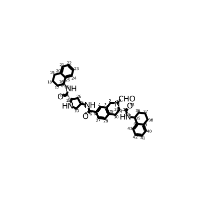 O=CN1Cc2cc(C(=O)NC3CN[C@H](C(=O)N[C@@H]4CCCc5ccccc54)C3)ccc2C[C@H]1C(=O)NC1CCCc2ccccc21